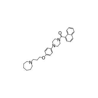 O=C(c1cccc2ccccc12)N1CCN(c2ccc(OCCCN3CCCCCC3)cc2)CC1